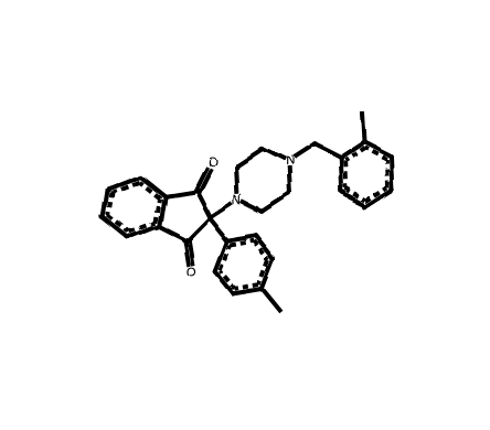 Cc1ccc(C2(N3CCN(Cc4ccccc4C)CC3)C(=O)c3ccccc3C2=O)cc1